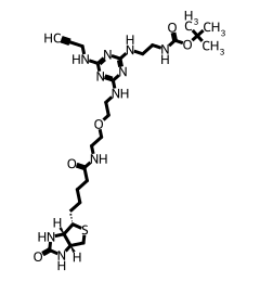 C#CCNc1nc(NCCNC(=O)OC(C)(C)C)nc(NCCOCCNC(=O)CCCC[C@@H]2SC[C@@H]3NC(=O)N[C@@H]32)n1